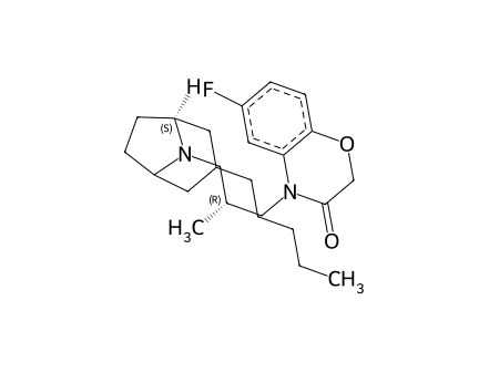 CCCCCC1CC2CC[C@@H](C1)N2C[C@@H](C)CN1C(=O)COc2ccc(F)cc21